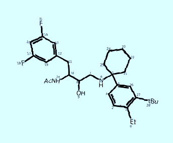 CCc1ccc(C2(NCC(O)C(Cc3cc(F)cc(F)c3)NC(C)=O)CCCCC2)cc1C(C)(C)C